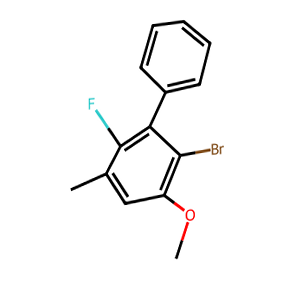 COc1cc(C)c(F)c(-c2ccccc2)c1Br